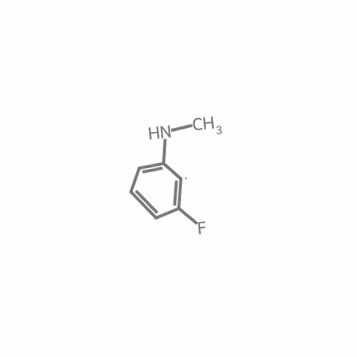 CNc1[c]c(F)ccc1